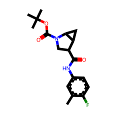 Cc1cc(NC(=O)C2CN(C(=O)OC(C)(C)C)C3CC23)ccc1F